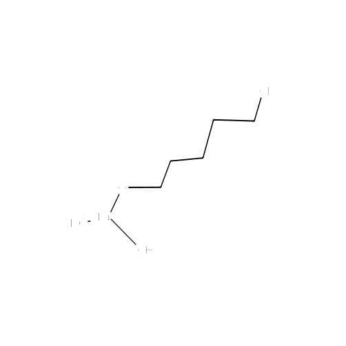 CCCC[CH]CO[SiH](C)C